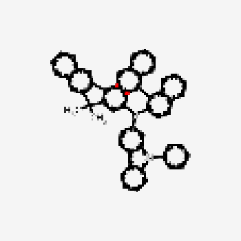 CC1(C)c2cc(N(c3ccc4c5ccccc5n(-c5ccccc5)c4c3)c3ccc4ccccc4c3-c3cccc4ccccc34)ccc2-c2cc3ccccc3cc21